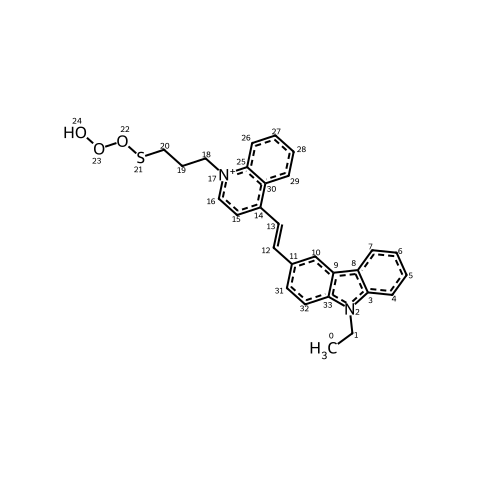 CCn1c2ccccc2c2cc(C=Cc3cc[n+](CCCSOOO)c4ccccc34)ccc21